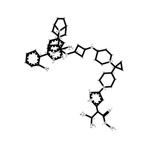 COC(=O)C(c1cc(N2CCC(C3(N4CCC(OC5CC(Oc6cc(N7C8CCC7CN(c7cc(-c9ccccc9O)nnc7N)C8)ccn6)C5)CC4)CC3)CC2)no1)C(C)C